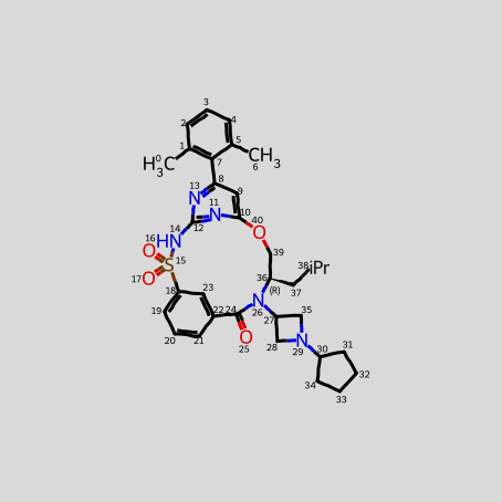 Cc1cccc(C)c1-c1cc2nc(n1)NS(=O)(=O)c1cccc(c1)C(=O)N(C1CN(C3CCCC3)C1)[C@H](CC(C)C)CO2